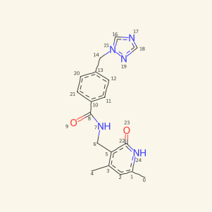 Cc1cc(C)c(CNC(=O)c2ccc(Cn3cncn3)cc2)c(=O)[nH]1